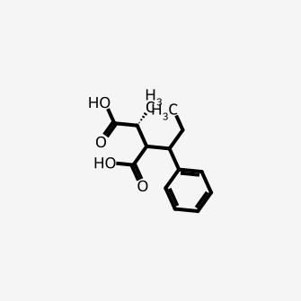 CCC(c1ccccc1)C(C(=O)O)[C@@H](C)C(=O)O